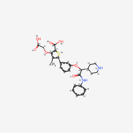 Cc1c(-c2cccc(OC(C(=O)Nc3ccccc3)C3CCNCC3)c2)sc(C(=O)O)c1OCC(=O)O